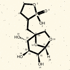 O=P1(O)OCCC1C[C@@]12CO[C@@H](O1)[C@@H](O)[C@@H](O)[C@@H]2O